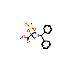 COC(=O)C1(OS(C)(=O)=O)CN(C(c2ccccc2)c2ccccc2)C1